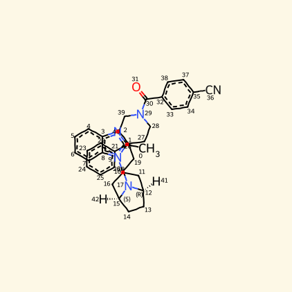 Cc1nc2ccccc2n1C1C[C@H]2CC[C@@H](C1)N2CCC1(c2ccccc2)CCN(C(=O)c2ccc(C#N)cc2)CC1